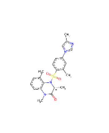 Cc1cn(-c2ccc(S(=O)(=O)N3c4c(C)cccc4N(C)C(=O)[C@H]3C)c(C)c2)cn1